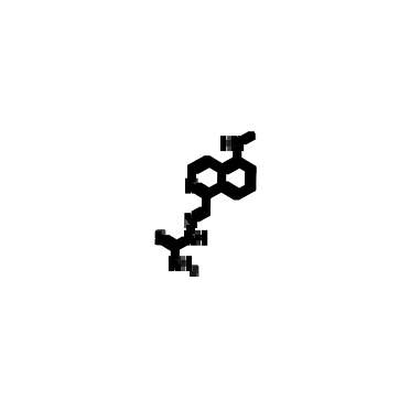 CNc1cccc2c(/C=N/NC(N)=S)nccc12